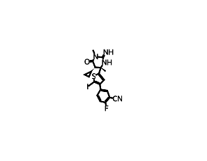 CN1C(=N)N[C@](C)(c2cc(-c3ccc(F)c(C#N)c3)c(I)s2)[C@H](C2CC2)C1=O